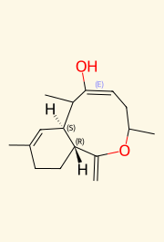 C=C1OC(C)C/C=C(/O)C(C)[C@@H]2C=C(C)CC[C@@H]12